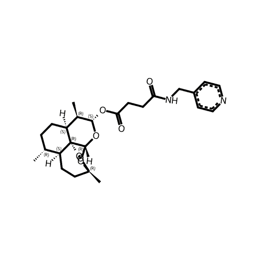 C[C@H]1[C@H](OC(=O)CCC(=O)NCc2ccncc2)O[C@@H]2O[C@@]3(C)CC[C@H]4[C@H](C)CC[C@@H]1[C@@]24OO3